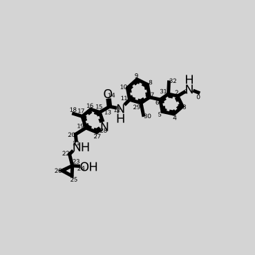 CNc1cccc(-c2cccc(NC(=O)c3cc(C)c(CNCC4(O)CC4)cn3)c2C)c1C